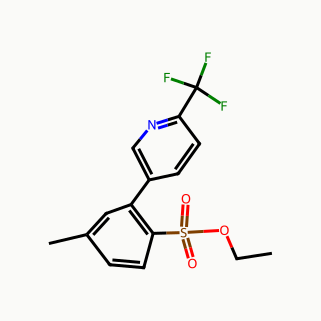 CCOS(=O)(=O)c1ccc(C)cc1-c1ccc(C(F)(F)F)nc1